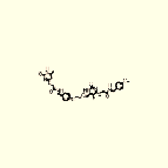 COc1ccc(CNC(=O)CSc2nc(=O)[nH]c(COCCOc3ccc(CNC(=O)CSc4cc(C)[nH]c(=O)n4)cc3)c2C)cc1